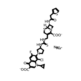 O=C(Cc1cccs1)N[C@@H]1CN2C(C(=O)[O-])=C(CNC(=S)NC3CCN(c4c(F)cc5c(=O)c(C(=O)[O-])cn(C6CC6)c5c4Cl)C3)CS[C@H]12.[Na+].[Na+]